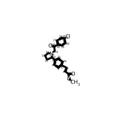 COC(=O)C=Cc1ccc(C2CCCN2CC(=O)c2ccc(Cl)cc2)cc1